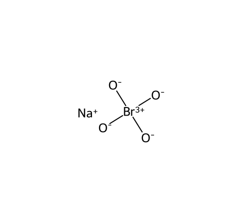 [Na+].[O-][Br+3]([O-])([O-])[O-]